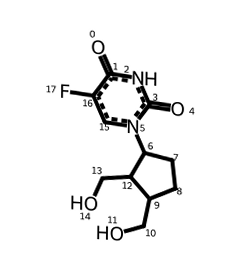 O=c1[nH]c(=O)n(C2CCC(CO)C2CO)cc1F